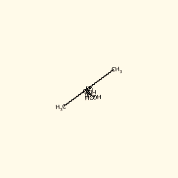 CCCCCCCCCCCCCCCCCCCCCC(=O)O[C@H](COCCCCCCCCCCCCCCCCCC)COP(=O)(O)OC[C@@H](O)CO